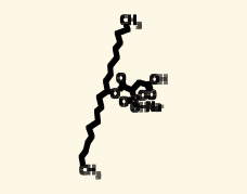 CCCCCCCCCCC(CCCCCCCCC)OC(=O)C(CC(=O)O)S(=O)(=O)O.[Na]